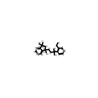 CCc1cnccc1C(C)(C)CCC1(C)CC(C)(C)c2ncncc21